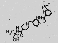 CC(C)(CO)NC(=O)C1CCN(Cc2cccc(NC(=O)c3cccc(C(F)(F)F)n3)c2)CC1